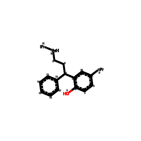 CCCc1ccc(O)c(C(CC[AsH]C(C)C)c2ccccc2)c1